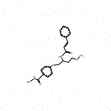 CSCCC(COc1ccc(C(=O)NO)cc1)NC(=O)/C=C/c1ccccc1